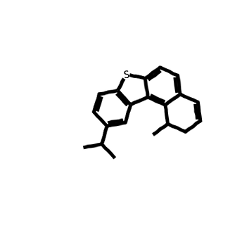 CC(C)c1ccc2sc3ccc4c(c3c2c1)C(C)CC=C4